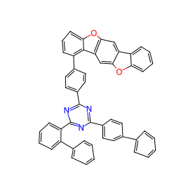 c1ccc(-c2ccc(-c3nc(-c4ccc(-c5cccc6oc7cc8c(cc7c56)oc5ccccc58)cc4)nc(-c4ccccc4-c4ccccc4)n3)cc2)cc1